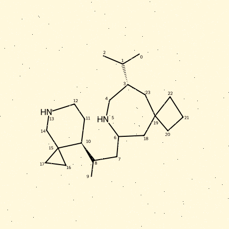 CC(C)[C@H]1CNC(CC(C)[C@@H]2CCNCC23CC3)CC2(CCC2)C1